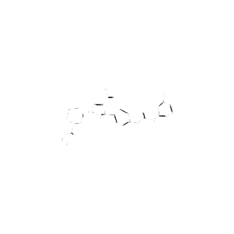 Cc1cccc(NC(=O)Nc2ccc(-c3nn([C@@H]4CCCN(C(=O)OC(C)(C)C)C4)cc3C(N)=O)cc2)c1